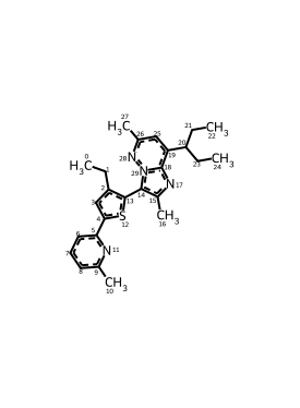 CCc1cc(-c2cccc(C)n2)sc1-c1c(C)nc2c(C(CC)CC)cc(C)nn12